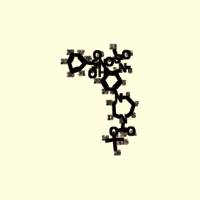 CN(c1cc(N2CCCN(C(=O)OC(C)(C)C)CC2)ccc1NS(=O)(=O)c1ccccc1)S(C)(=O)=O